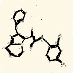 Cc1ccc(NC(=O)C(=O)c2c(-c3ccccc3)cc3ccccn23)c(C)c1